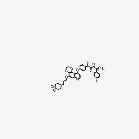 C[C@H](NC(=O)Nc1ccc(Oc2ccnc3cc(OCCCN4CCS(=O)(=O)CC4)c4c(c23)OCCO4)cc1)c1ccc(F)cc1